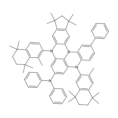 Cc1cc2c(cc1N1c3ccc(-c4ccccc4)cc3B3c4cc5c(cc4N(c4ccc6c(c4C)C(C)(C)CCC6(C)C)c4cc(N(c6ccccc6)c6ccccc6)cc1c43)C(C)(C)CC5(C)C)C(C)(C)CCC2(C)C